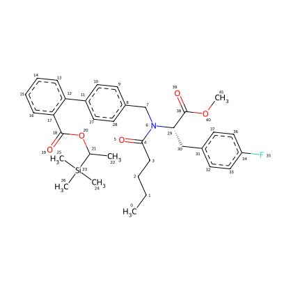 CCCCC(=O)N(Cc1ccc(-c2ccccc2C(=O)OC(C)[Si](C)(C)C)cc1)[C@@H](Cc1ccc(F)cc1)C(=O)OC